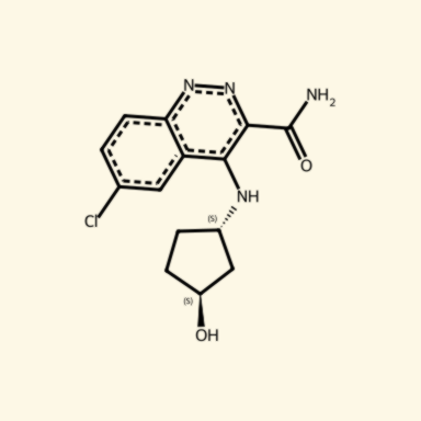 NC(=O)c1nnc2ccc(Cl)cc2c1N[C@H]1CC[C@H](O)C1